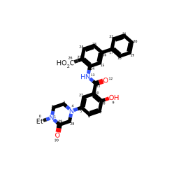 CCN1CCN(c2ccc(O)c(C(=O)Nc3cc(-c4ccccc4)ccc3C(=O)O)c2)CC1=O